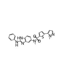 CN(c1ccc2[nH]c(Nc3ccccc3)nc2c1)S(=O)(=O)c1ccc(-c2ccnn2C)s1